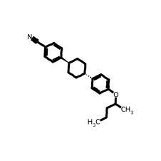 CCCC(C)Oc1ccc([C@H]2CC[C@H](c3ccc(C#N)cc3)CC2)cc1